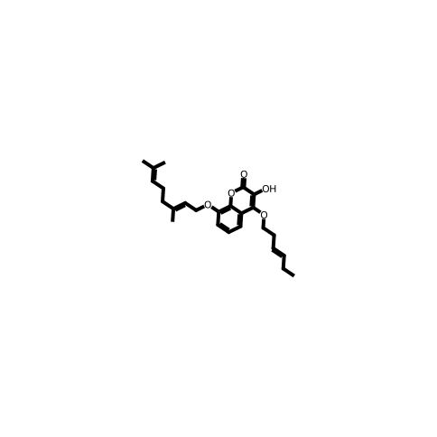 CC/C=C/CCOc1c(O)c(=O)oc2c(OC/C=C(\C)CCC=C(C)C)cccc12